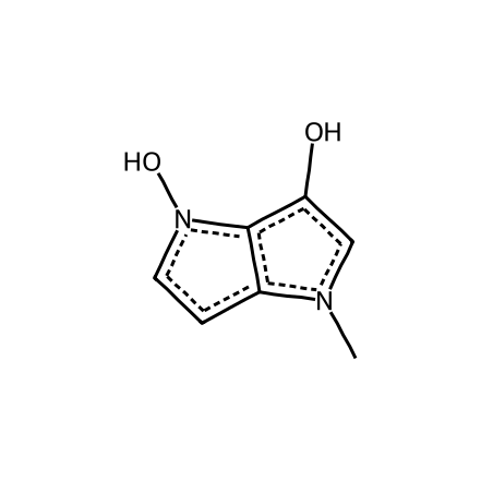 Cn1cc(O)c2c1ccn2O